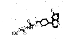 C[C@@H](NC(=O)NNC(=O)OC(C)(C)C)C1CCC(c2ccnc3ccc(F)cc23)CC1